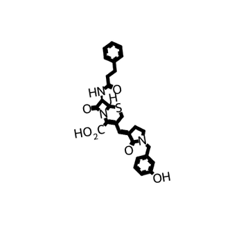 O=C(CCc1ccccc1)N[C@@H]1C(=O)N2C(C(=O)O)=C(/C=C3\CCN(Cc4cccc(O)c4)C3=O)CS[C@H]12